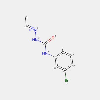 C/C=N/NC(=O)Nc1cccc(Br)c1